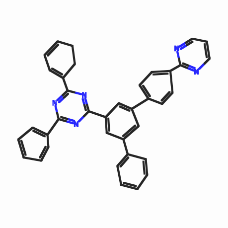 C1=CCCC(c2nc(-c3ccccc3)nc(-c3cc(-c4ccccc4)cc(-c4ccc(-c5ncccn5)cc4)c3)n2)=C1